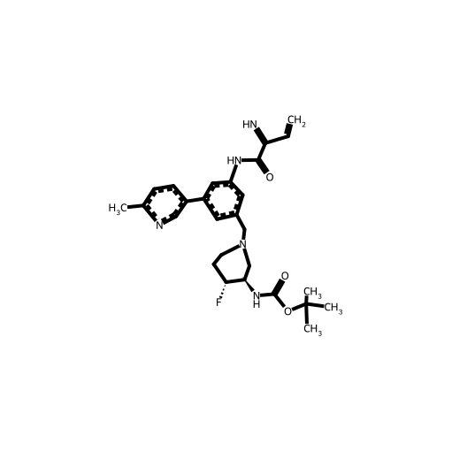 C=CC(=N)C(=O)Nc1cc(CN2CC[C@@H](F)[C@H](NC(=O)OC(C)(C)C)C2)cc(-c2ccc(C)nc2)c1